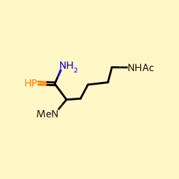 CNC(CCCCNC(C)=O)C(N)=P